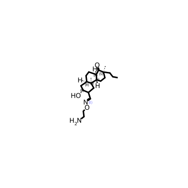 CCC[C@@]1(C)CC[C@H]2[C@@H](CC[C@@H]3C[C@@H](O)C(/C=N/OCCN)C[C@@]32C)C1=O